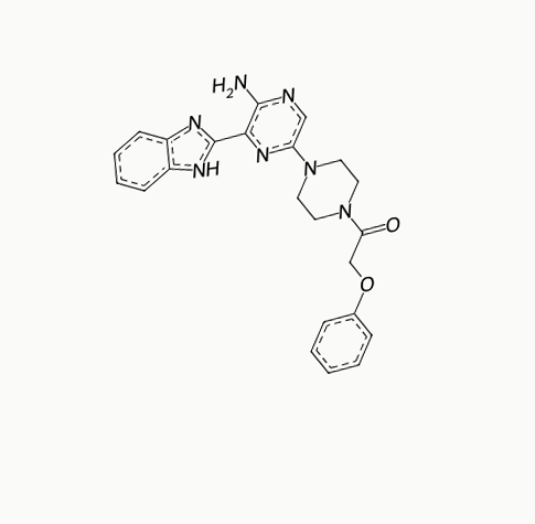 Nc1ncc(N2CCN(C(=O)COc3ccccc3)CC2)nc1-c1nc2ccccc2[nH]1